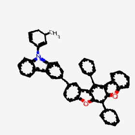 CC1C=C(n2c3ccccc3c3cc(-c4ccc5oc6c(-c7ccccc7)c7oc8ccccc8c7c(-c7ccccc7)c6c5c4)ccc32)C=CC1